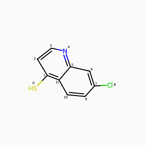 Sc1ccnc2cc(Cl)ccc12